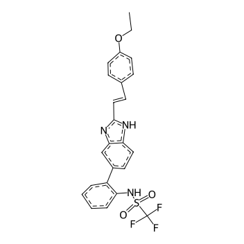 CCOc1ccc(/C=C/c2nc3cc(-c4ccccc4NS(=O)(=O)C(F)(F)F)ccc3[nH]2)cc1